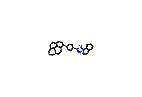 c1ccc2c(c1)ccn1cc(-c3ccc(-c4ccc5ccc6cccc7ccc4c5c67)cc3)nc21